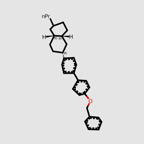 CCCC1CC[C@@H]2C[C@H](c3ccc(-c4ccc(OCc5ccccc5)cc4)cc3)CC[C@@H]2C1